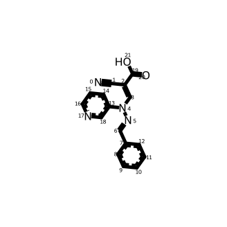 N#CC(=CN(N=Cc1ccccc1)c1cccnc1)C(=O)O